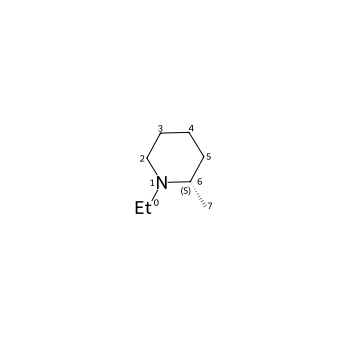 [CH2]CN1CCCC[C@@H]1C